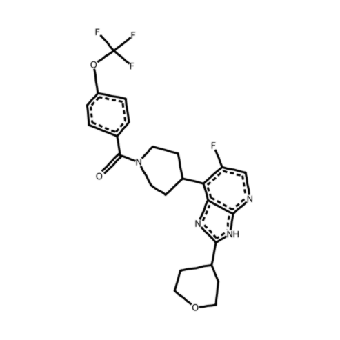 O=C(c1ccc(OC(F)(F)F)cc1)N1CCC(c2c(F)cnc3[nH]c(C4CCOCC4)nc23)CC1